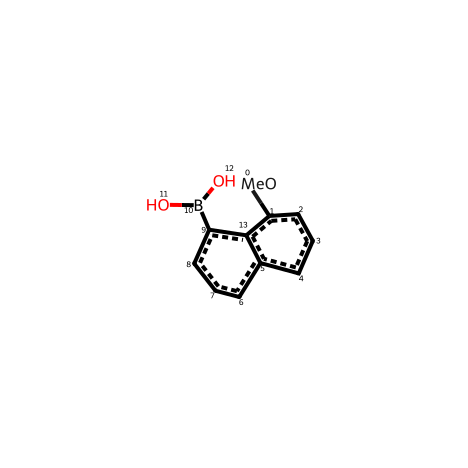 COc1cccc2cccc(B(O)O)c12